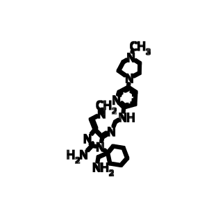 C=N/C=C1/N=C(N)N(C2(CN)CCCCC2)/C1=N/CNc1ccc(N2CCN(C)CC2)cn1